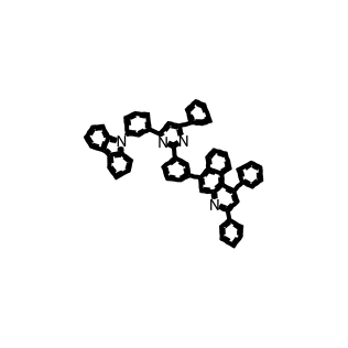 c1ccc(-c2cc(-c3cccc(-n4c5ccccc5c5ccccc54)c3)nc(-c3cccc(-c4cc5nc(-c6ccccc6)cc(-c6ccccc6)c5c5ccccc45)c3)n2)cc1